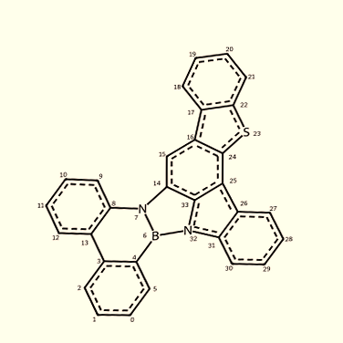 c1ccc2c(c1)B1N(c3ccccc3-2)c2cc3c4ccccc4sc3c3c4ccccc4n1c23